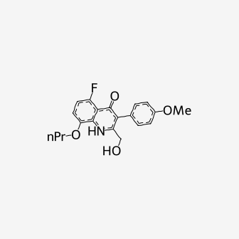 CCCOc1ccc(F)c2c(=O)c(-c3ccc(OC)cc3)c(CO)[nH]c12